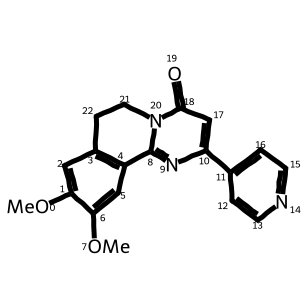 COc1cc2c(cc1OC)-c1nc(-c3ccncc3)cc(=O)n1CC2